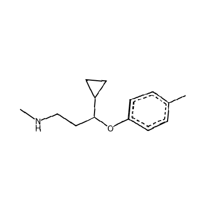 CNCCC(Oc1ccc(C)cc1)C1CC1